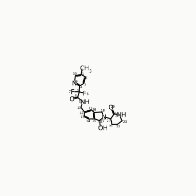 Cc1ccc(C(F)(F)C(=O)NCc2ccc3c(c2)CN(C2CCCNC2=O)[C@H]3O)nc1